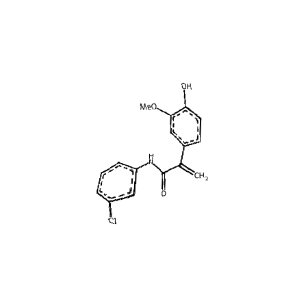 C=C(C(=O)Nc1cccc(Cl)c1)c1ccc(O)c(OC)c1